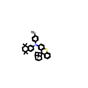 CC(C)(C)c1ccc(N(c2ccc3c(c2)C(C)(C)CCC3(C)C)c2ccc3c(c2)C2(c4ccccc4S3)C3CC4CC5CC2C53C4)cc1